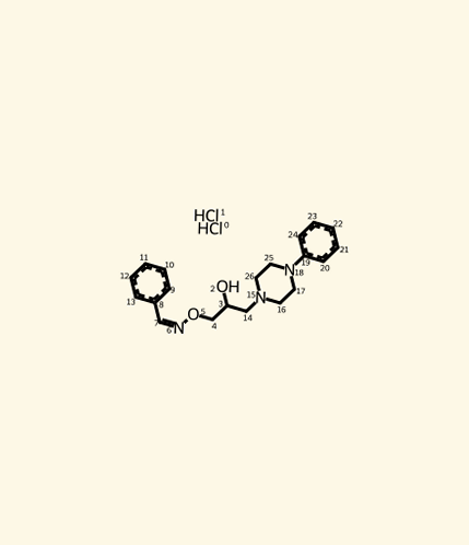 Cl.Cl.OC(CO/N=C\c1ccccc1)CN1CCN(c2ccccc2)CC1